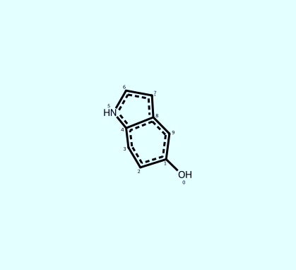 Oc1ccc2[nH]c[c]c2c1